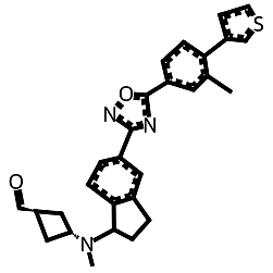 Cc1cc(-c2nc(-c3ccc4c(c3)CCC4N(C)[C@H]3C[C@H](C=O)C3)no2)ccc1-c1ccsc1